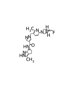 Cc1nc(N2C[C@@H]3[C@@H](CF)[C@@H]3C2)ccc1Cn1cc(C(=O)N[C@@H]2CCc3c2n[nH]c3C)cn1